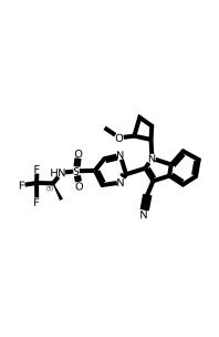 COC1CCC1n1c(-c2ncc(S(=O)(=O)N[C@@H](C)C(F)(F)F)cn2)c(C#N)c2ccccc21